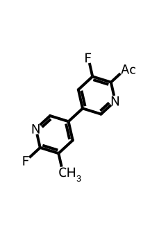 CC(=O)c1ncc(-c2cnc(F)c(C)c2)cc1F